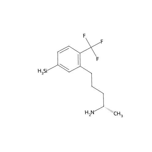 C[C@H](N)CCCc1cc([SiH3])ccc1C(F)(F)F